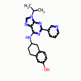 CC(C)n1cnc2c(NC3CCc4cc(O)ccc4C3)nc(-c3cccnc3)nc21